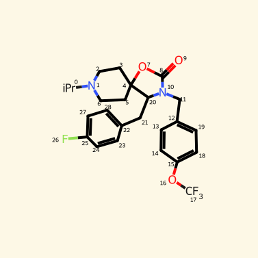 CC(C)N1CCC2(CC1)OC(=O)N(Cc1ccc(OC(F)(F)F)cc1)C2Cc1ccc(F)cc1